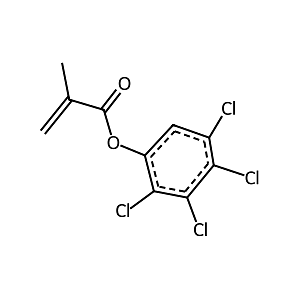 C=C(C)C(=O)Oc1cc(Cl)c(Cl)c(Cl)c1Cl